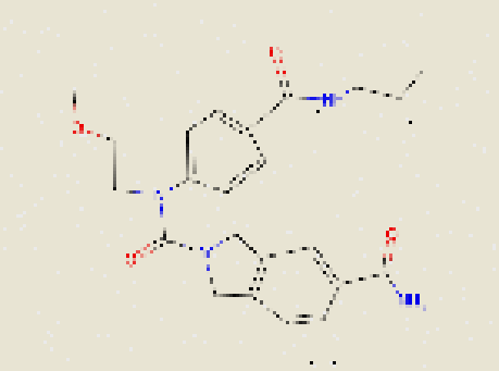 CCCNC(=O)c1ccc(N(CCOC)C(=O)N2Cc3ccc(C(N)=O)cc3C2)cc1